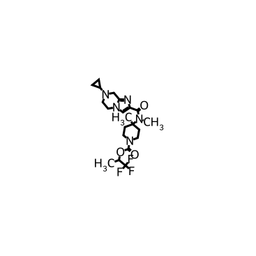 CC(OC(=O)N1CCC(C)(N(C)C(=O)c2cn3c(n2)CN(C2CC2)CC3)CC1)C(F)(F)F